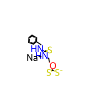 S=C(NCCOC(=S)[S-])NCc1ccccc1.[Na+]